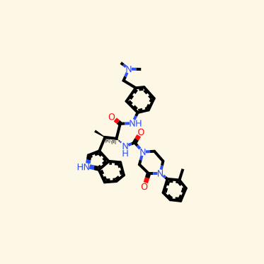 Cc1ccccc1N1CCN(C(=O)N[C@@H](C(=O)Nc2cccc(CN(C)C)c2)[C@H](C)c2c[nH]c3ccccc23)CC1=O